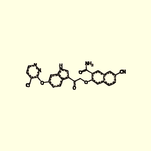 N#Cc1ccc2cc(OCC(=O)c3c[nH]c4cc(Oc5nnccc5Cl)ccc34)c(C(N)=O)cc2c1